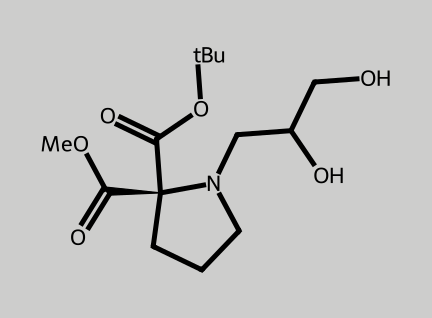 COC(=O)[C@]1(C(=O)OC(C)(C)C)CCCN1CC(O)CO